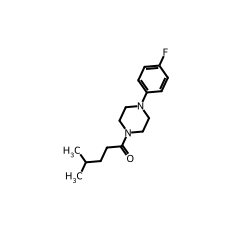 CC(C)CCC(=O)N1CCN(c2ccc(F)cc2)CC1